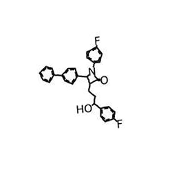 O=C1C(CCC(O)c2ccc(F)cc2)C(c2ccc(-c3ccccc3)cc2)N1c1ccc(F)cc1